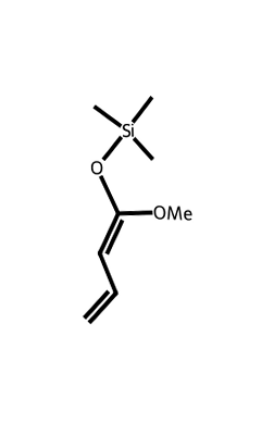 C=C/C=C(\OC)O[Si](C)(C)C